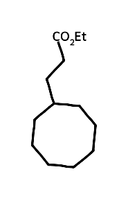 CCOC(=O)CCC1CCCCCCC1